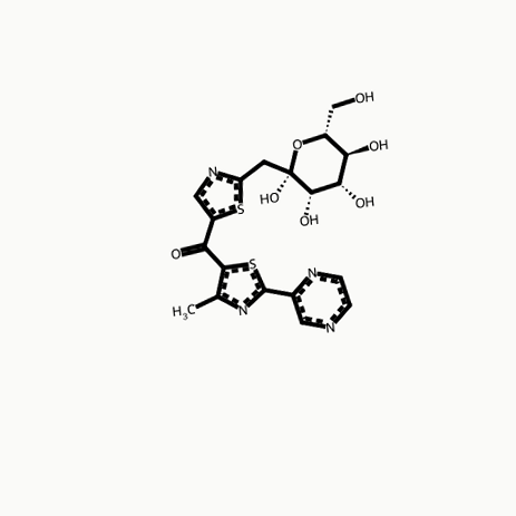 Cc1nc(-c2cnccn2)sc1C(=O)c1cnc(C[C@@]2(O)O[C@H](CO)[C@@H](O)[C@H](O)[C@@H]2O)s1